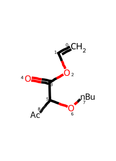 C=COC(=O)C(OCCCC)C(C)=O